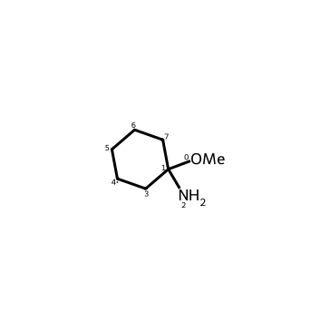 COC1(N)C[CH]CCC1